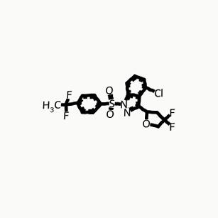 CC(F)(F)c1ccc(S(=O)(=O)n2nc(C3CC(F)(F)CO3)c3c(Cl)cccc32)cc1